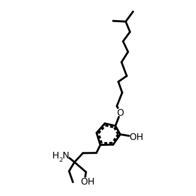 CCC(N)(CO)CCc1ccc(OCCCCCCCCC(C)C)c(O)c1